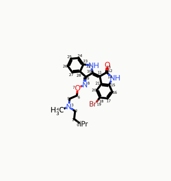 CC(C)CCN(C)CCO/N=C1/C(=C2/C(=O)Nc3ccc(Br)cc32)Nc2ccccc21